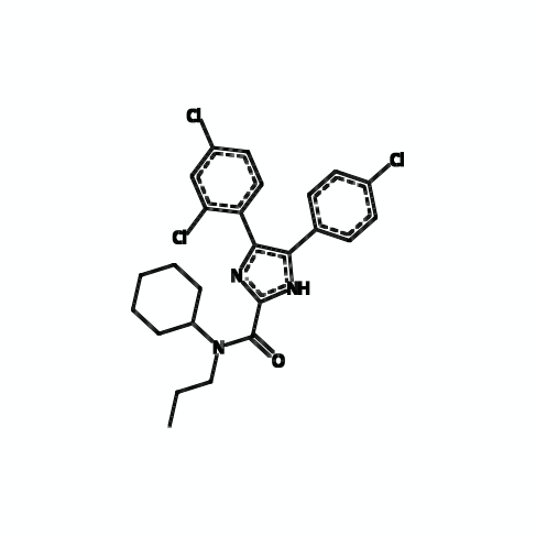 CCCN(C(=O)c1nc(-c2ccc(Cl)cc2Cl)c(-c2ccc(Cl)cc2)[nH]1)C1CCCCC1